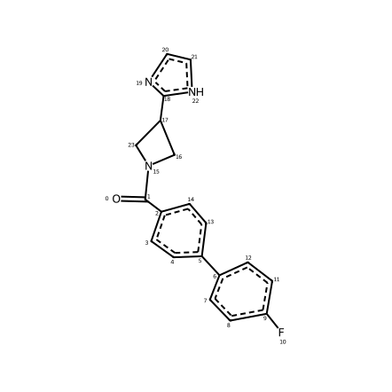 O=C(c1ccc(-c2ccc(F)cc2)cc1)N1CC(c2ncc[nH]2)C1